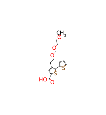 COCCOCOCCc1cc(C(=O)O)sc1-c1cccs1